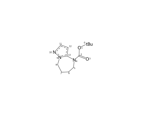 CC(C)(C)OC(=O)N1CCCCn2nccc21